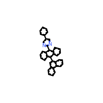 c1ccc(-c2cnc(-c3c4ccccc4c(-c4cc5ccccc5c5ccccc45)c4ccccc34)nc2)cc1